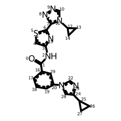 O=C(Nc1csc(-c2nncn2C2CC2)n1)c1cccc(-n2cnc(C3CC3)c2)c1